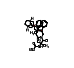 Cc1nc2ccccc2n1[C@H]1C[C@H]2CC[C@@H](C1)N2CCC1(c2ccccc2)CCN(C(=O)C(C)(C)NC(=O)C(C)(C)C)CC1